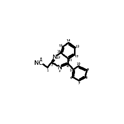 N#CCc1nc(-c2ccccc2)c2ccccc2n1